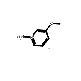 COc1ccc[n+](N)c1.[I-]